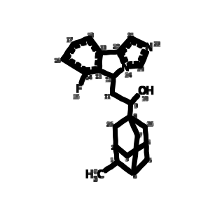 CC1C2CC3CC1CC(C(O)CC1c4c(F)cccc4-c4cncn41)(C3)C2